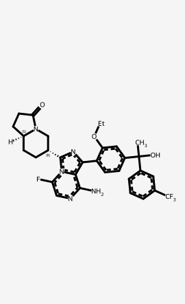 CCOc1cc(C(C)(O)c2cccc(C(F)(F)F)c2)ccc1-c1nc([C@@H]2CC[C@H]3CCC(=O)N3C2)n2c(F)cnc(N)c12